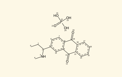 CCC(NC)c1ccc2c(c1)C(=O)c1ccccc1C2=O.O=P(O)(O)O